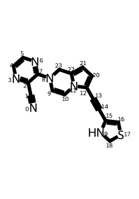 N#Cc1nccnc1N1C=Cn2c(C#CC3=CSCN3)ccc2C1